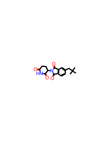 CC(C)(C)Cc1ccc2c(c1)C(=O)N(C1CCC(=O)NC1=O)C2=O